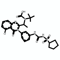 CC(c1nc2cccc(Cl)c2c(=O)n1-c1cccc(NC(=O)NS(=O)(=O)C2CCCC2)c1)N(C(=O)O)C(C)(C)C